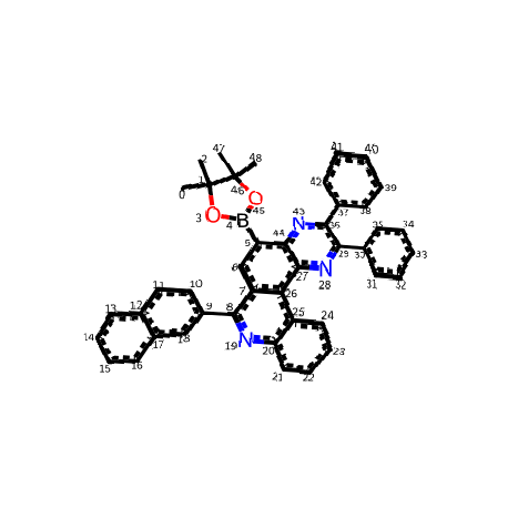 CC1(C)OB(c2cc3c(-c4ccc5ccccc5c4)nc4ccccc4c3c3nc(-c4ccccc4)c(-c4ccccc4)nc23)OC1(C)C